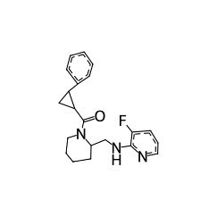 O=C(C1CC1c1ccccc1)N1CCCCC1CNc1ncccc1F